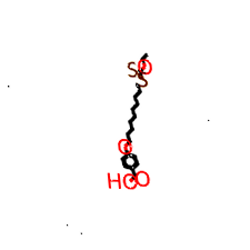 CCOC(=S)SCCCCCCCCCCOc1ccc(C(=O)O)cc1